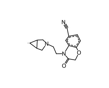 N#Cc1ccc2c(c1)N(CCN1CC3[CH]C3C1)C(=O)CO2